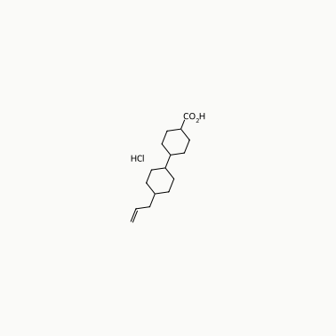 C=CCC1CCC(C2CCC(C(=O)O)CC2)CC1.Cl